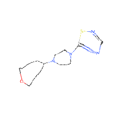 c1nsc(N2CCN(C3CCOCC3)CC2)n1